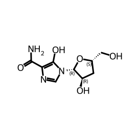 NC(=O)c1ncn([C@@H]2O[C@H](CO)C[C@H]2O)c1O